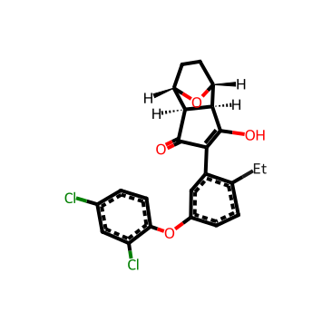 CCc1ccc(Oc2ccc(Cl)cc2Cl)cc1C1=C(O)[C@H]2[C@@H](C1=O)[C@@H]1CC[C@H]2O1